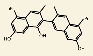 Cc1cc2c(C(C)C)cc(O)cc2cc1-c1c(C)cc2c(C(C)C)cc(O)cc2c1O